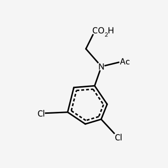 CC(=O)N(CC(=O)O)c1cc(Cl)cc(Cl)c1